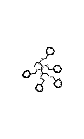 CC[C@@H](OCc1ccccc1)[C@@H](OCc1ccccc1)[C@H](OCc1ccccc1)[C@@H](COCc1ccccc1)OCc1ccccc1